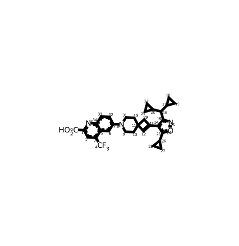 O=C(O)c1cc(C(F)(F)F)c2cc(N3CCC4(C=C(c5c(C(C6CC6)C6CC6)noc5C5CC5)C4)CC3)ccc2n1